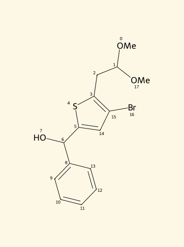 COC(Cc1sc(C(O)c2ccccc2)cc1Br)OC